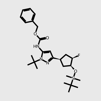 CC(C)(C)n1nc([C@H]2C[C@@H](F)[C@@H](O[Si](C)(C)C(C)(C)C)C2)cc1NC(=O)OCc1ccccc1